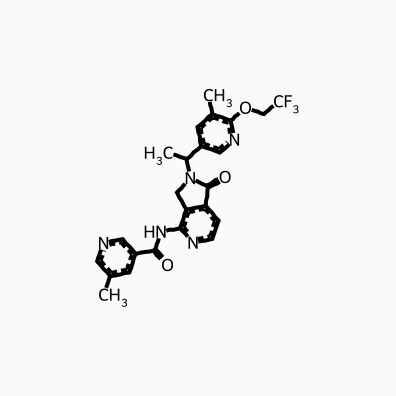 Cc1cncc(C(=O)Nc2nccc3c2CN(C(C)c2cnc(OCC(F)(F)F)c(C)c2)C3=O)c1